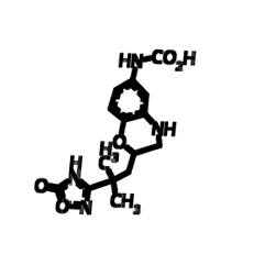 CC(C)(CC1CNc2cc(NC(=O)O)ccc2O1)c1noc(=O)[nH]1